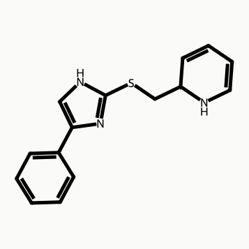 C1=CN[C](CSc2nc(-c3ccccc3)c[nH]2)C=C1